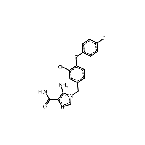 NC(=O)c1ncn(Cc2ccc(Sc3ccc(Cl)cc3)c(Cl)c2)c1N